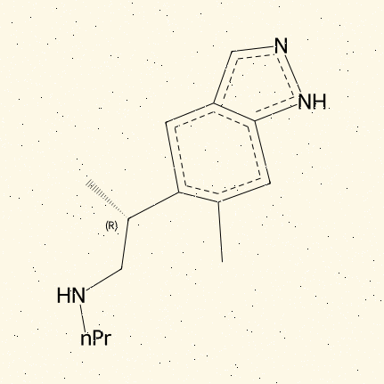 CCCNC[C@H](C)c1cc2cn[nH]c2cc1C